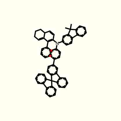 CC1(C)c2ccccc2-c2ccc(N(C3=C(c4ccccc4)C4=CCCCC4C=C3)c3ccc(-c4ccc5c(c4)-c4ccccc4C54c5ccccc5-c5ccccc54)cc3)cc21